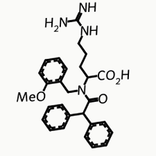 COc1ccccc1CN(C(=O)C(c1ccccc1)c1ccccc1)C(CCCNC(=N)N)C(=O)O